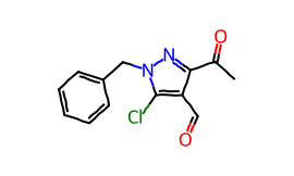 CC(=O)c1nn(Cc2ccccc2)c(Cl)c1C=O